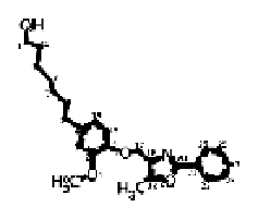 COc1cc(CCCCCCCO)ccc1OCc1nc(-c2ccccc2)oc1C